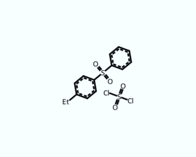 CCc1ccc(S(=O)(=O)c2ccccc2)cc1.O=S(=O)(Cl)Cl